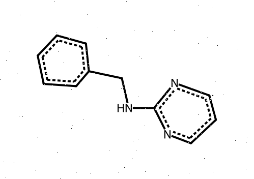 [c]1ccnc(NCc2ccccc2)n1